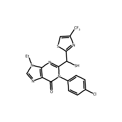 CCn1cnc2c(=O)n(-c3ccc(Cl)cc3)c(C(S)c3nc(C(F)(F)F)cs3)nc21